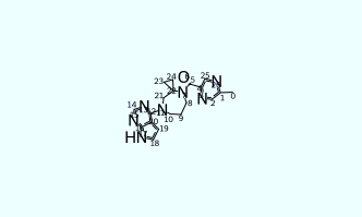 Cc1cnc(C(=O)N2CCCN(c3ncnc4[nH]ccc34)CC23CC3)cn1